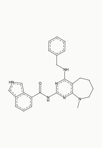 CN1CCCCc2c(NCc3ccccc3)nc(NC(=O)c3cccc4c[nH]cc34)nc21